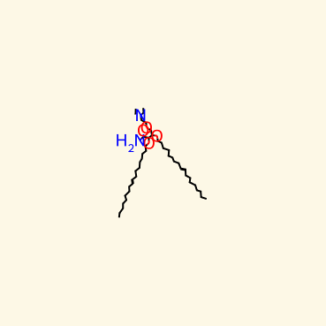 CCCCCCCCC=CCCCCCCCCOC(COCCN(CC)CC)C(OCCCCCCCCC=CCCCCCCCC)C(N)=O